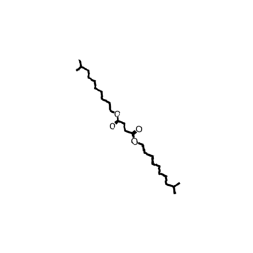 CC(C)CCCCCCCCOC(=O)CCC(=O)OCCCCCCCCC(C)C